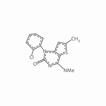 CNc1nc(=O)n(-c2ccccc2Cl)c2cc(C)sc12